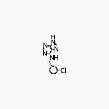 Clc1cccc(CNc2ncnc3[nH]cnc23)c1